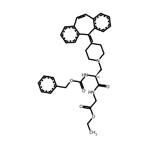 CCOC(=O)CNC(=O)[C@H](CN1CCC(=C2c3ccccc3C=Cc3ccccc32)CC1)NC(=O)OCc1ccccc1